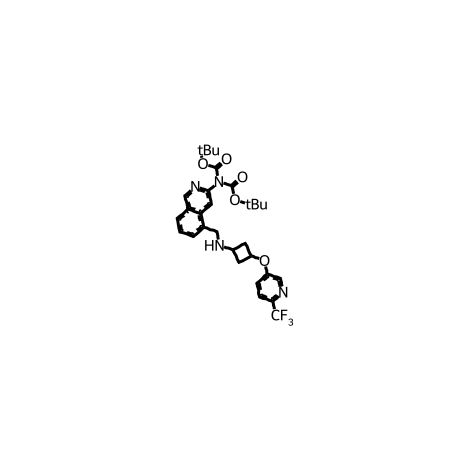 CC(C)(C)OC(=O)N(C(=O)OC(C)(C)C)c1cc2c(CNC3CC(Oc4ccc(C(F)(F)F)nc4)C3)cccc2cn1